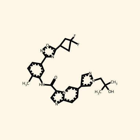 Cc1ccc(-c2noc(C3CC(F)(F)C3)n2)cc1NC(=O)c1cnc2ccc(-c3cnn(CC(C)(C)O)c3)cn12